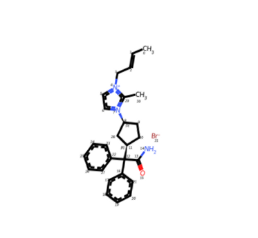 CC=CC[n+]1ccn([C@H]2CC[C@@H](C(C(N)=O)(c3ccccc3)c3ccccc3)C2)c1C.[Br-]